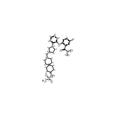 CCN(C(=O)c1cc(F)ccc1Oc1nncnc1N1CC[C@@H](CN2CCC3(CCC(NS(C)(=O)=O)CC3)CC2)C1)C(C)C